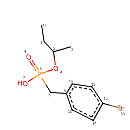 CCC(C)OP(=O)(O)Cc1ccc(Br)cc1